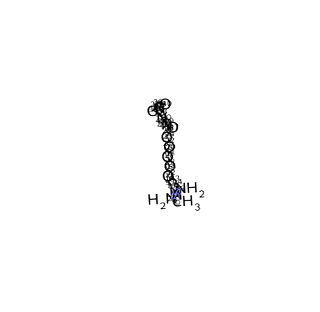 C/C(N)=N/N=C(\N)c1ccc(OCCOCCOCCOCCOCCC(=O)N2CCN(CCN3C(=O)C=CC3=O)CC2)cc1